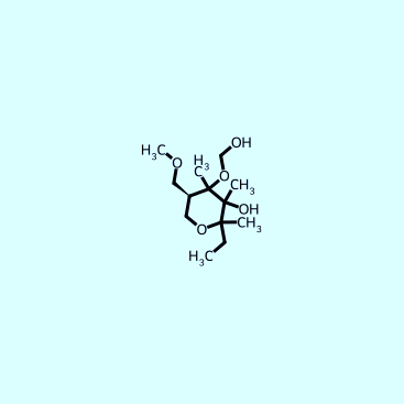 CCC1(C)OC[C@@H](COC)C(C)(OCO)C1(C)O